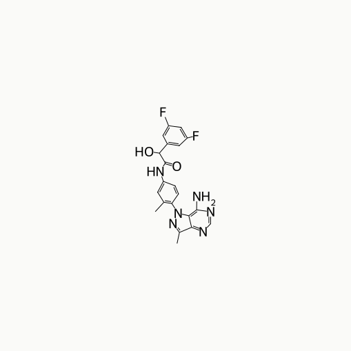 Cc1cc(NC(=O)C(O)c2cc(F)cc(F)c2)ccc1-n1nc(C)c2ncnc(N)c21